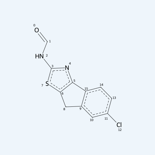 O=CNc1nc2c(s1)Cc1cc(Cl)ccc1-2